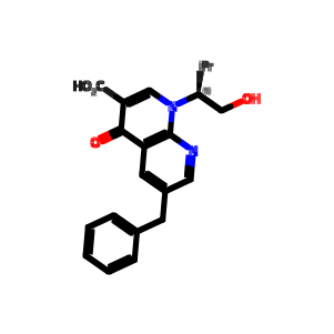 CC(C)[C@@H](CO)n1cc(C(=O)O)c(=O)c2cc(Cc3ccccc3)cnc21